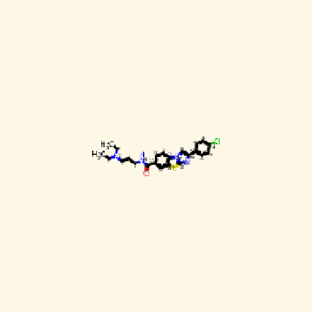 CCN(CC)CCCNC(=O)c1ccc2c(c1)sc1nc(-c3ccc(Cl)cc3)cn12